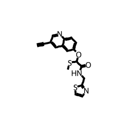 C#Cc1cnc2ccc(OC(SC)C(=O)NCc3nccs3)cc2c1